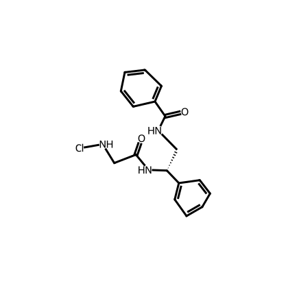 O=C(CNCl)N[C@H](CNC(=O)c1ccccc1)c1ccccc1